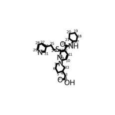 O=C(O)CC1CCCN(c2ccc(C(=O)NC3CCCCC3)c(SCCc3cccnc3)n2)C1